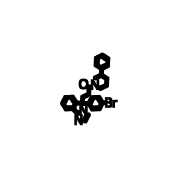 O=C(CCC1(c2ccc(Br)cc2)c2ccccc2-c2nccn21)N1CCCC(c2ccccc2)C1